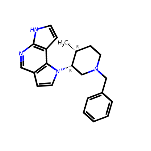 C[C@@H]1CCN(Cc2ccccc2)C[C@@H]1n1ccc2cnc3[nH]ccc3c21